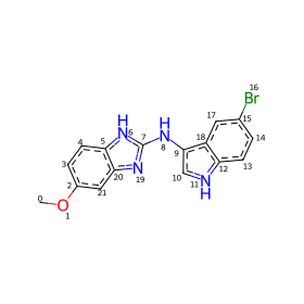 COc1ccc2[nH]c(Nc3c[nH]c4ccc(Br)cc34)nc2c1